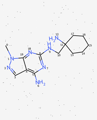 Cn1ncc2c(N)nc(NCC3(N)CCCCC3)nc21